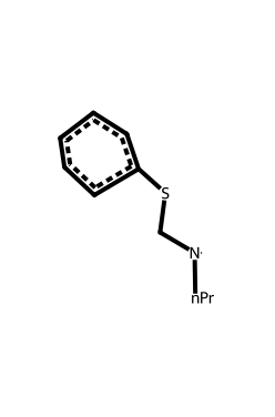 CCC[N]CSc1ccccc1